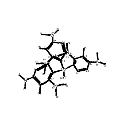 Cc1c(N(C)C)ccc([Si](Cl)(c2ccc(N(C)C)c(C)c2N(C)C)c2ccc(N(C)C)c(C)c2N(C)C)c1N(C)C